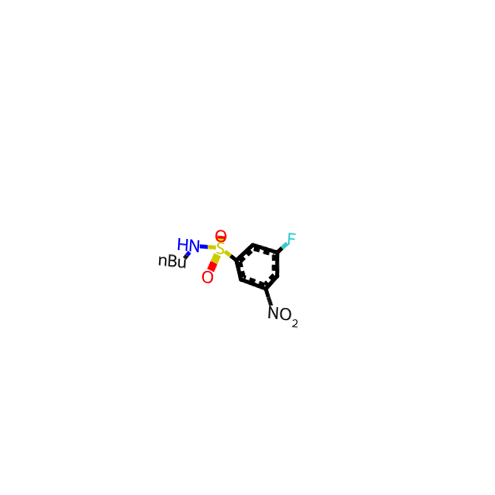 CCCCNS(=O)(=O)c1cc(F)cc([N+](=O)[O-])c1